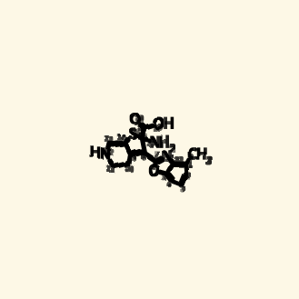 Cc1cccc2oc(C3=C4CCNC=C4SC3(N)C(=O)O)nc12